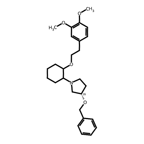 COc1ccc(CCOC2CCCCC2N2CC[C@H](OCc3ccccc3)C2)cc1OC